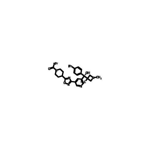 CCCC(=O)N1CCC(c2nc(-c3cncc([C@@](O)(c4ccc(C(C)C)cc4)C4(C)CN(C)C4)c3)no2)CC1